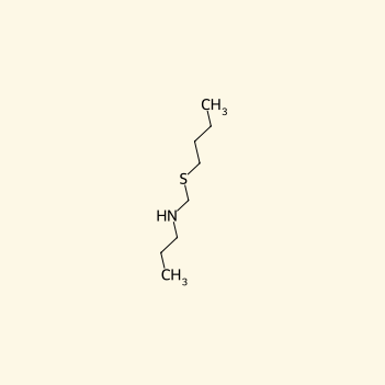 CCCCSCNCCC